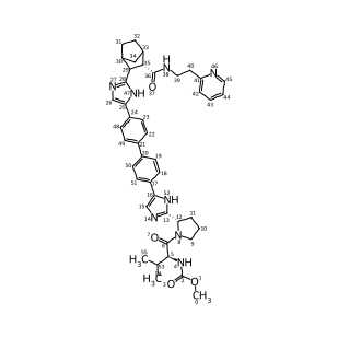 COC(=O)N[C@H](C(=O)N1CCC[C@H]1c1ncc(-c2ccc(-c3ccc(-c4cnc(C5C6CCC(C6)[C@@H]5C(=O)NCCc5ccccn5)[nH]4)cc3)cc2)[nH]1)C(C)C